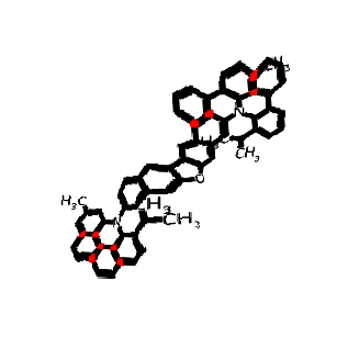 Cc1ccc(-c2ccccc2)c(N(c2ccc3cc4c(cc3c2)oc2cc3cc(N(c5cc(C)ccc5-c5ccccc5)c5c(-c6ccccc6)cccc5C(C)C)ccc3cc24)c2c(-c3ccccc3)cccc2C(C)C)c1